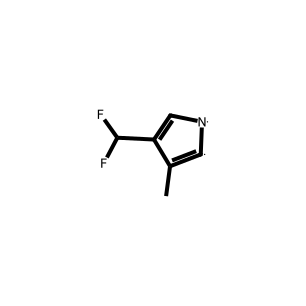 CC1=[C][N]C=C1C(F)F